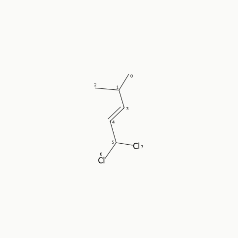 CC(C)C=CC(Cl)Cl